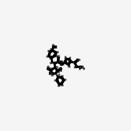 COC(=O)c1csc(NC(=O)[C@@H](Cc2ccc(O)cc2)N2C(=O)N[C@@H](c3ccccc3)C2=O)n1